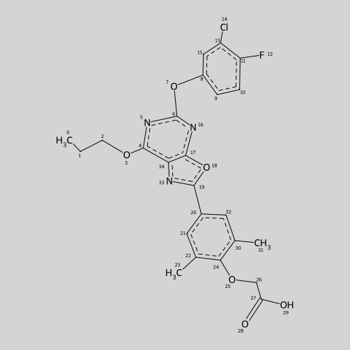 CCCOc1nc(Oc2ccc(F)c(Cl)c2)nc2oc(-c3cc(C)c(OCC(=O)O)c(C)c3)nc12